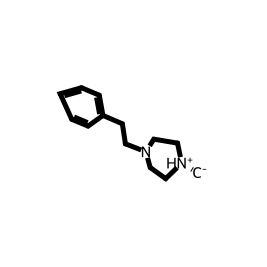 [CH2-][NH+]1CCN(CCc2ccccc2)CC1